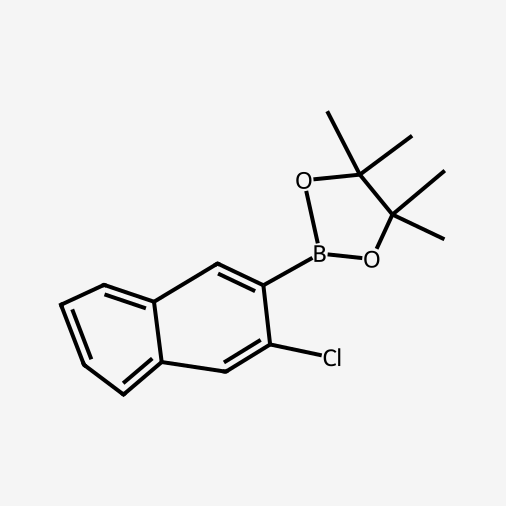 CC1(C)OB(c2cc3ccccc3cc2Cl)OC1(C)C